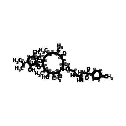 Cc1ccc(S(=O)(=O)NC(=N)NCCC[C@H]2CC(=O)N(C)C[C@H](C)C[C@@](C)(O)[C@H](O[C@@H]3O[C@H](C)C[C@H](N(C)C)[C@H]3O)[C@@H](C)[C@H](O)[C@@H](C)C(=O)N2)cc1